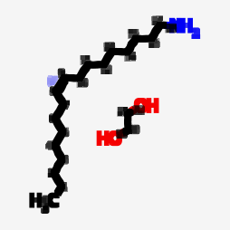 CCCCCCCC/C=C\CCCCCCCCN.OCCO